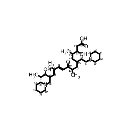 CCC(O)C(C=C(C)C=CC(=O)C(C)CC(CCN1CCCCC1)CC(C)C(O)CC(=O)O)CN1CCCCC1